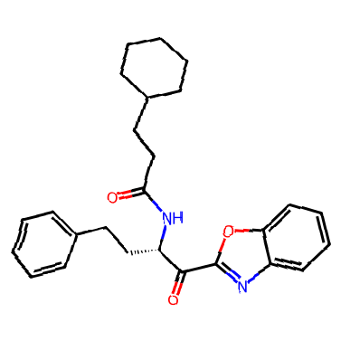 O=C(CCC1CCCCC1)N[C@@H](CCc1ccccc1)C(=O)c1nc2ccccc2o1